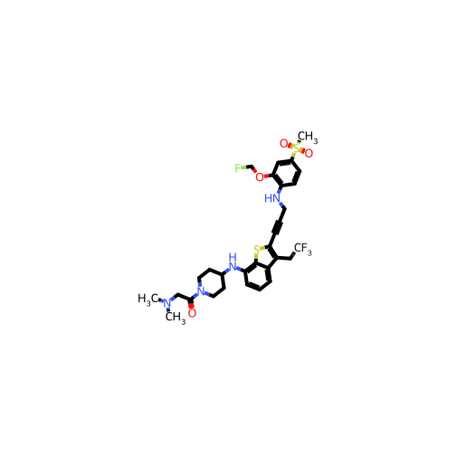 CN(C)CC(=O)N1CCC(Nc2cccc3c(CC(F)(F)F)c(C#CCNc4ccc(S(C)(=O)=O)cc4OCF)sc23)CC1